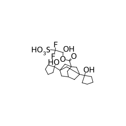 O=C(OC(O)C(F)(F)S(=O)(=O)O)C12CC3CC(C4(O)CCCC4)(C1)CC(C1(O)CCCC1)(C3)C2